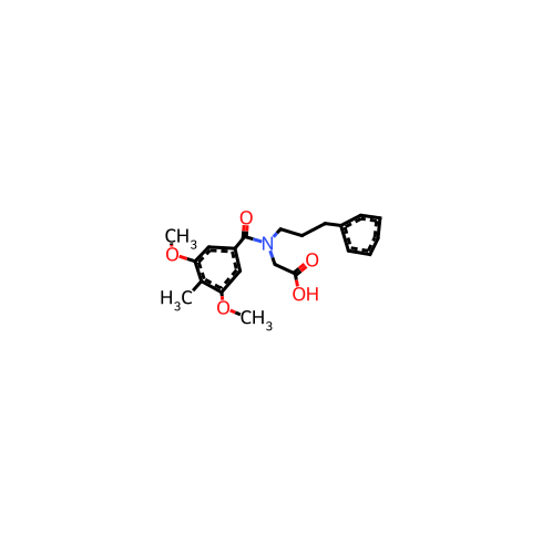 COc1cc(C(=O)N(CCCc2ccccc2)CC(=O)O)cc(OC)c1C